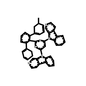 CC1C=CC=C(c2cccc(C3=CC=CCC3)c2-c2nc(-n3c4ccccc4c4ccncc43)cc(-n3c4ccccc4c4ccncc43)n2)C1